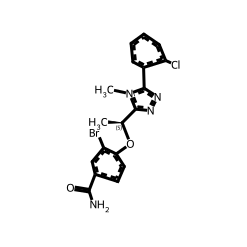 C[C@H](Oc1ccc(C(N)=O)cc1Br)c1nnc(-c2ccccc2Cl)n1C